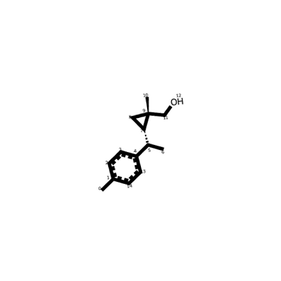 Cc1ccc(C(C)[C@@H]2C[C@]2(C)CO)cc1